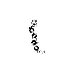 CC1(CNC(=O)OC(C)(C)C)CCN(c2cnc(Sc3ccnc(N4CCC(C(=O)O)CC4)c3Cl)cn2)CC1